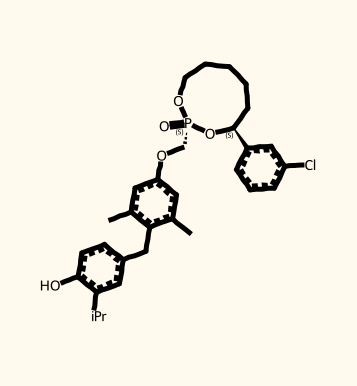 Cc1cc(OC[P@]2(=O)OCCCCC[C@@H](c3cccc(Cl)c3)O2)cc(C)c1Cc1ccc(O)c(C(C)C)c1